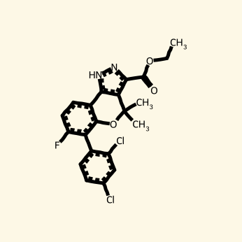 CCOC(=O)c1n[nH]c2c1C(C)(C)Oc1c-2ccc(F)c1-c1ccc(Cl)cc1Cl